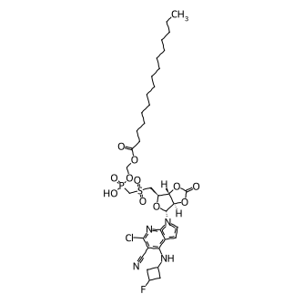 CCCCCCCCCCCCCCCC(=O)OCOP(=O)(O)CS(=O)(=O)C[C@@H]1O[C@@H](n2ccc3c(NC4CC(F)C4)c(C#N)c(Cl)nc32)[C@@H]2OC(=O)O[C@H]21